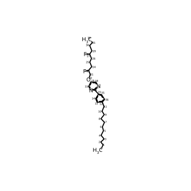 CCCCCCCCCCCCc1ccc(-c2ncc(OCC(F)CCCC(F)CCCC)cn2)cc1